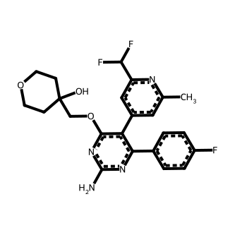 Cc1cc(-c2c(OCC3(O)CCOCC3)nc(N)nc2-c2ccc(F)cc2)cc(C(F)F)n1